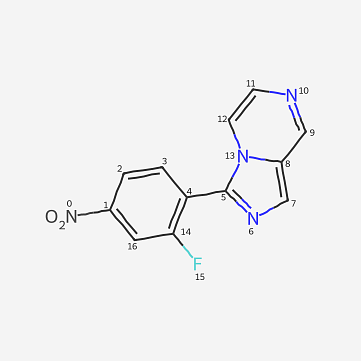 O=[N+]([O-])c1ccc(-c2ncc3cnccn23)c(F)c1